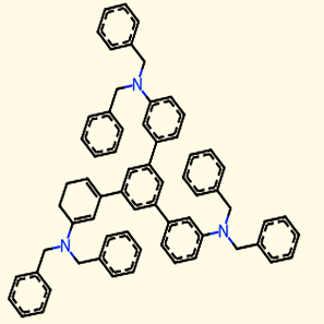 C1=C(c2cc(-c3cccc(N(Cc4ccccc4)Cc4ccccc4)c3)cc(-c3cccc(N(Cc4ccccc4)Cc4ccccc4)c3)c2)C=C(N(Cc2ccccc2)Cc2ccccc2)CC1